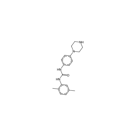 Cc1ccc(C)c(NC(=O)Nc2ccc(N3CCNCC3)cc2)c1